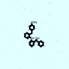 COc1ccc(Cc2ccccc2Pc2ccccc2C(O)c2ccccc2)cc1